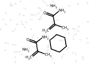 C1CCCCC1.C=C(C)C(N)=O.C=C(C)C(N)=O.N.N